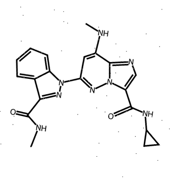 CNC(=O)c1nn(-c2cc(NC)c3ncc(C(=O)NC4CC4)n3n2)c2ccccc12